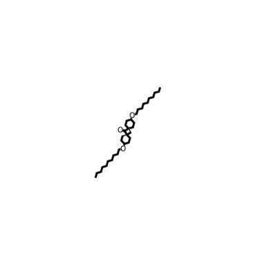 CCCCCCCCCCOC1CC[C@]2(CC1)C[C@@]1(CCC(OCCCCCCCCCC)CC1)C2=O